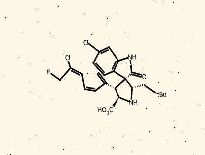 C=C(/C=C\C=C(\Cl)CF)[C@H]1[C@H](C(=O)O)N[C@@H](CC(C)(C)C)[C@@]12C(=O)Nc1cc(Cl)ccc12